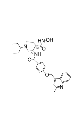 CCC(CC)N1CC[C@H](C(=O)NO)[C@H](NC(=O)c2ccc(OCc3cc(C)nc4ccccc34)cc2)C1